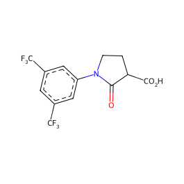 O=C(O)C1CCN(c2cc(C(F)(F)F)cc(C(F)(F)F)c2)C1=O